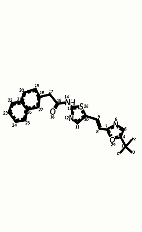 CC(C)(C)c1cnc(/C=C/c2cnc(NC(=O)Cc3ccc4ccccc4c3)s2)o1